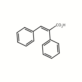 O=C(O)C(=Cc1ccccc1)c1ccccc1